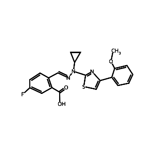 COc1ccccc1-c1csc(N(/N=C/c2ccc(F)cc2C(=O)O)C2CC2)n1